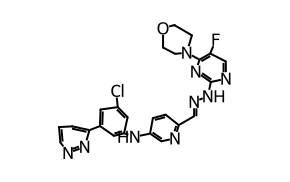 Fc1cnc(N/N=C/c2ccc(Nc3cc(Cl)cc(-c4cccnn4)c3)cn2)nc1N1CCOCC1